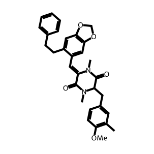 COc1ccc(CC2C(=O)N(C)C(=Cc3cc4c(cc3CCc3ccccc3)OCO4)C(=O)N2C)cc1C